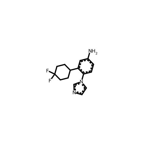 Nc1ccc(-n2ccnc2)c(C2CCC(F)(F)CC2)c1